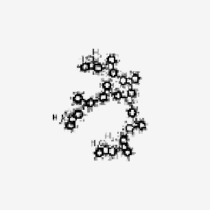 CC1(C)c2ccccc2-c2ccc(-n3c4ccccc4c4cc(-c5ccc6c(c5)c5ccccc5n6-c5ccc(-c6nc(-c7ccc(-n8c9ccccc9c9cc(-c%10ccc%11c(c%10)c%10ccccc%10n%11-c%10ccc%11c(c%10)C(C)(C)c%10ccccc%10-%11)ccc98)cc7)c7cc(-n8c9ccccc9c9cc(-c%10ccc%11c(c%10)c%10ccccc%10n%11-c%10ccc%11c(c%10)C(C)(C)c%10ccccc%10-%11)ccc98)ccc7n6)cc5)ccc43)cc21